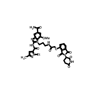 CCn1nc(C)cc1C(=O)Nc1nc2cc(C(N)=O)cc(OC)c2n1CCCNC(=O)COc1cccc2c1C(=O)N(C1CCC(=O)NC1=O)C2=O